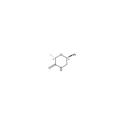 CCC[C@H]1CNC(=O)[C@H](C)O1